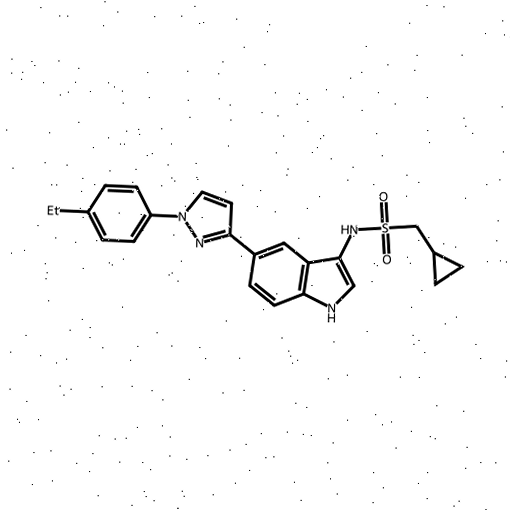 CCc1ccc(-n2ccc(-c3ccc4[nH]cc(NS(=O)(=O)CC5CC5)c4c3)n2)cc1